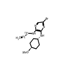 C=[13CH][13CH2]Nc1ncc(Br)nc1N[C@H]1CC[C@H](OC)CC1